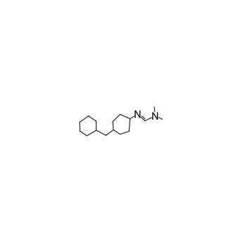 CN(C)C=NC1CCC(CC2CCCCC2)CC1